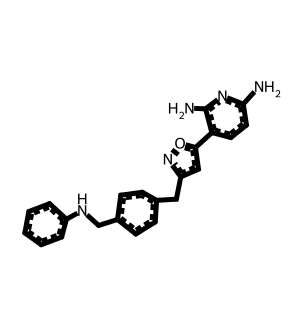 Nc1ccc(-c2cc(Cc3ccc(CNc4ccccc4)cc3)no2)c(N)n1